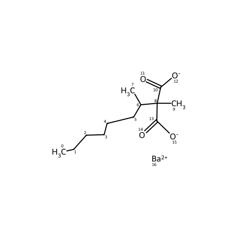 CCCCCCC(C)C(C)(C(=O)[O-])C(=O)[O-].[Ba+2]